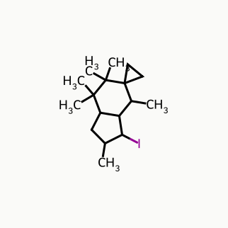 CC1CC2C(C1I)C(C)C1(CC1)C(C)(C)C2(C)C